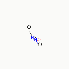 O=C(NC1CCCCC1)N1CCN(CCCC=Cc2ccc(F)cc2)CC1